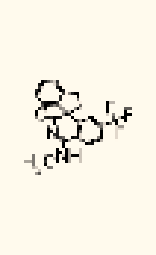 CNC1=NC(=O)C2(CCc3ccccc32)c2cc(C(F)(F)F)ccc21